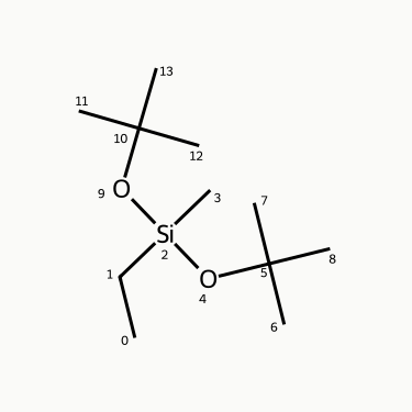 CC[Si](C)(OC(C)(C)C)OC(C)(C)C